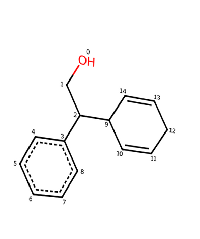 OCC(c1ccccc1)C1C=CCC=C1